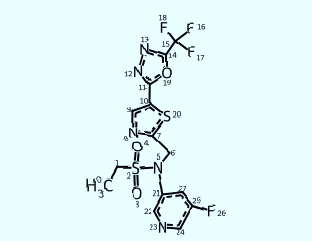 CCS(=O)(=O)N(Cc1ncc(-c2nnc(C(F)(F)F)o2)s1)c1cncc(F)c1